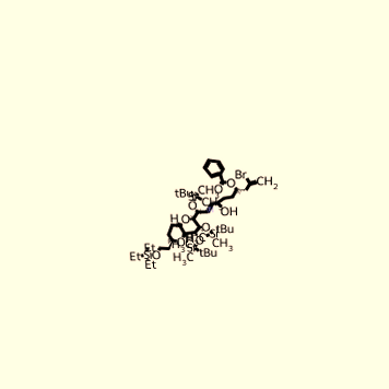 C=C(Br)C[C@H](CCC(O)/C=C/[C@H](O[Si](C)(C)C(C)(C)C)[C@@H]1O[C@H]2CC[C@H](CCO[Si](CC)(CC)CC)O[C@@H]2[C@H](O[Si](C)(C)C(C)(C)C)[C@@H]1O[Si](C)(C)C(C)(C)C)OC(=O)c1ccccc1